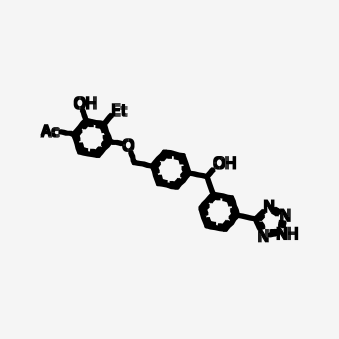 CCc1c(OCc2ccc(C(O)c3cccc(-c4nn[nH]n4)c3)cc2)ccc(C(C)=O)c1O